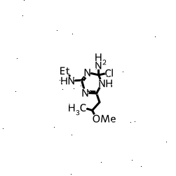 CCNC1=NC(N)(Cl)NC(CC(C)OC)=N1